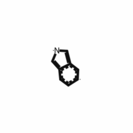 [c]1ccc2c(c1)=C[N]C=2